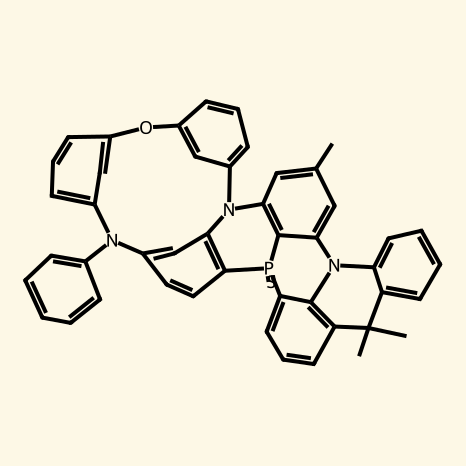 Cc1cc2c3c(c1)N1c4ccccc4C(C)(C)c4cccc(c41)P3(=S)c1ccc3cc1N2c1cccc(c1)Oc1cccc(c1)N3c1ccccc1